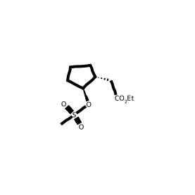 CCOC(=O)C[C@H]1CCC[C@@H]1OS(C)(=O)=O